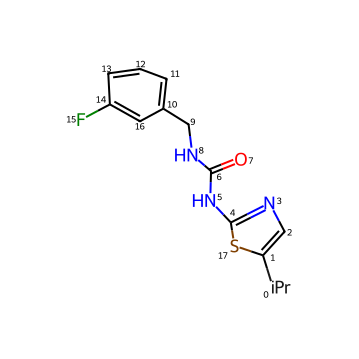 CC(C)c1cnc(NC(=O)NCc2cccc(F)c2)s1